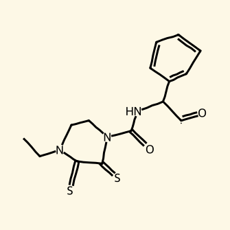 CCN1CCN(C(=O)NC([C]=O)c2ccccc2)C(=S)C1=S